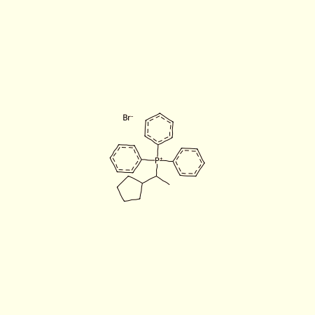 CC(C1CCCC1)[P+](c1ccccc1)(c1ccccc1)c1ccccc1.[Br-]